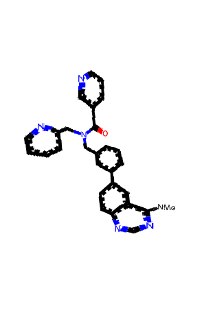 CNc1ncnc2ccc(-c3cccc(CN(Cc4ccccn4)C(=O)c4cccnc4)c3)cc12